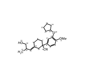 COc1ccc(C2(C#N)CCCC(=CC(C)CO)C2)cc1OC1CCCC1